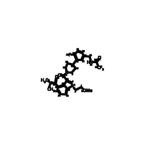 COCCn1cc(C(=O)N2CCC(c3cc(CNC(=O)C(F)(F)F)ccc3F)CC2)c2c(C(=O)N(C)C)cccc21